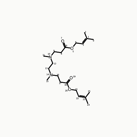 CC(C)=CCOC(=O)CCN(C)CCN(C)CCC(=O)OCC=C(C)C